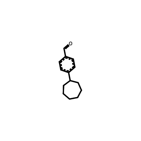 O=Cc1ccc(C2CCCCCC2)cc1